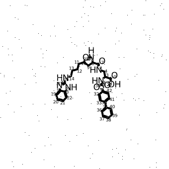 O=C(O)C(CNC(=O)C1CC(CCCCNc2nc3ccccc3[nH]2)ON1)NS(=O)(=O)c1ccc(-c2ccccc2)cc1